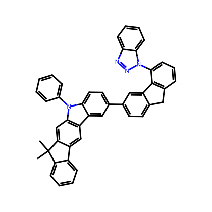 CC1(C)c2ccccc2-c2cc3c4cc(-c5ccc6c(c5)-c5c(cccc5-n5nnc7ccccc75)C6)ccc4n(-c4ccccc4)c3cc21